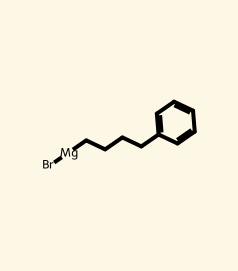 [Br][Mg][CH2]CCCc1ccccc1